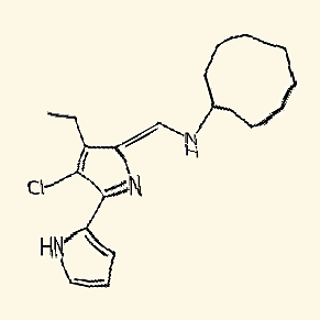 CCC1=C(Cl)C(c2ccc[nH]2)=NC1=CNC1CCCCCCC1